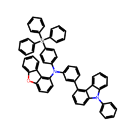 c1ccc(-n2c3ccccc3c3c(-c4cccc(N(c5ccc([Si](c6ccccc6)(c6ccccc6)c6ccccc6)cc5)c5cccc6oc7ccccc7c56)c4)cccc32)cc1